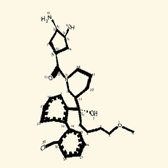 COCCCC[C@@](O)(c1ccccc1-c1ccccc1Cl)C1CCCN(C(=O)[C@H]2C[C@@H](N)[C@@H](O)C2)C1